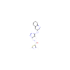 Cc1nc(C)c(C(=O)N2Cc3ncnc(Nc4cnc5ccccc5c4)c3C2)s1